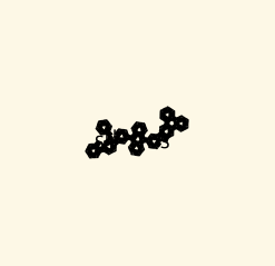 c1ccc(-n2c3ccc(-c4c5ccccc5c(-c5ccc6sc7cc8c9ccccc9c9ccccc9c8cc7c6c5)c5ccccc45)cc3c3ccc4c5ccccc5sc4c32)cc1